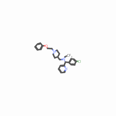 FC(F)(F)CN(CC1CCN(CCOc2ccccc2)CC1)[C@@H](c1ccc(Cl)cc1)c1ccccn1